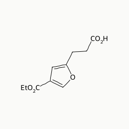 CCOC(=O)c1coc(CCC(=O)O)c1